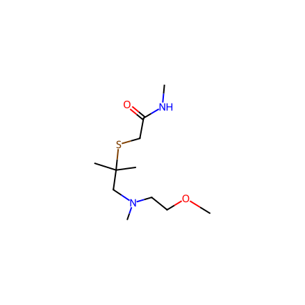 CNC(=O)CSC(C)(C)CN(C)CCOC